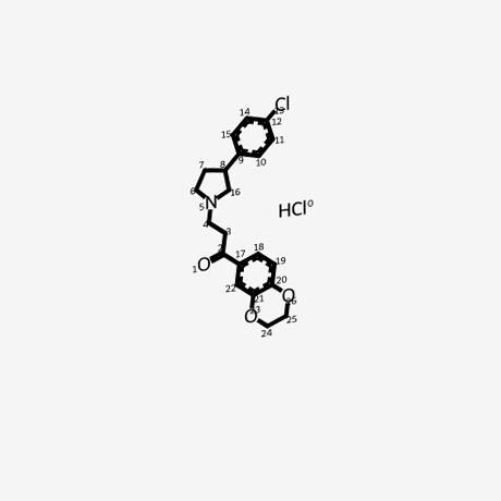 Cl.O=C(CCN1CCC(c2ccc(Cl)cc2)C1)c1ccc2c(c1)OCCO2